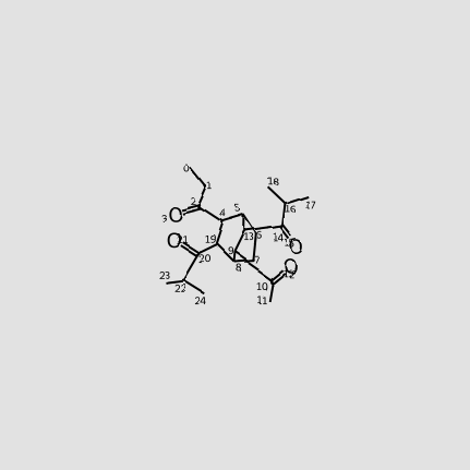 CCC(=O)C1C2CCC(C(C(C)=O)C2C(=O)C(C)C)C1C(=O)C(C)C